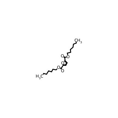 CCCCCCCOC(=O)c1ccc(C(=O)OCCCCCCC)o1